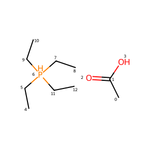 CC(=O)O.CC[PH](CC)(CC)CC